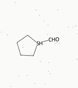 O=C[SH]1CCCC1